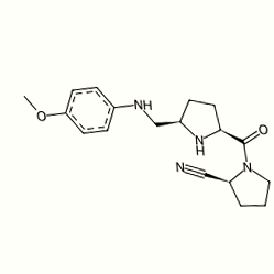 COc1ccc(NC[C@H]2CC[C@@H](C(=O)N3CCC[C@H]3C#N)N2)cc1